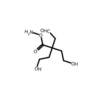 NOC(=O)C(CC=O)(CCO)CCO